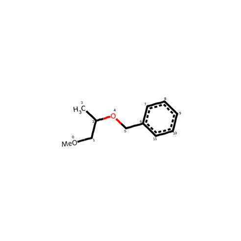 COCC(C)OCc1ccccc1